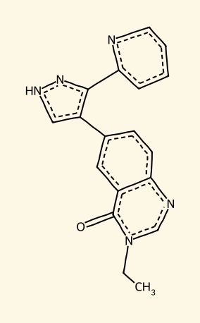 CCn1cnc2ccc(-c3c[nH]nc3-c3ccccn3)cc2c1=O